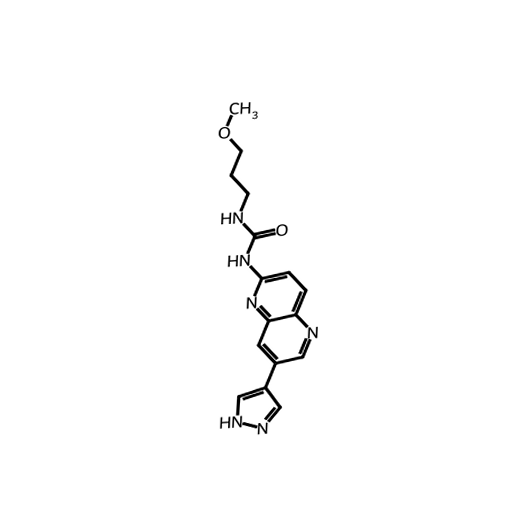 COCCCNC(=O)Nc1ccc2ncc(-c3cn[nH]c3)cc2n1